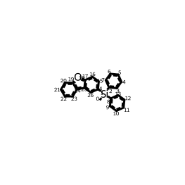 C[Si](c1ccccc1)(c1ccccc1)c1ccc2oc3ccccc3c2c1